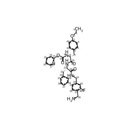 CCOc1ccc(C[C@@H](NC(=O)Oc2ccccn2)C(=O)N[C@@H](Cc2ccccc2)C(=O)NCc2ccc(CN)c(F)c2)cc1